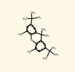 CC(C)(C)c1cc(P)c2c(c1)C(C)(C)c1cc(C(C)(C)C)cc(P)c1O2